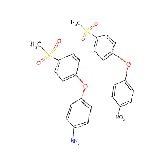 CS(=O)(=O)c1ccc(Oc2ccc(N)cc2)cc1.CS(=O)(=O)c1ccc(Oc2ccc([N+](=O)[O-])cc2)cc1